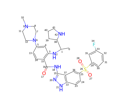 CC(Nc1cc(N2CCN(C)CC2)ccc1C(=O)Nc1n[nH]c2ccc(S(=O)(=O)c3cccc(F)c3)cc12)C1CCCN1